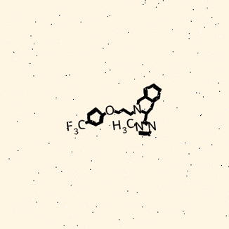 Cn1ccnc1C1Cc2ccccc2CN1CCCOc1ccc(C(F)(F)F)cc1